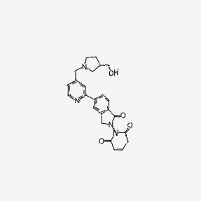 O=C1c2ccc(-c3cc(CN4CCC(CO)C4)ccn3)cc2CN1N1C(=O)CCCC1=O